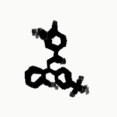 Cc1ccccc1[C@@H](CC(=O)c1ccc(=O)n(C)c1)c1ccc(S(C)(=O)=O)cc1